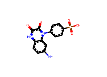 [NH]c1ccc2[nH]c(=O)c(=O)n(-c3ccc(S(=O)(=O)O)cc3)c2c1